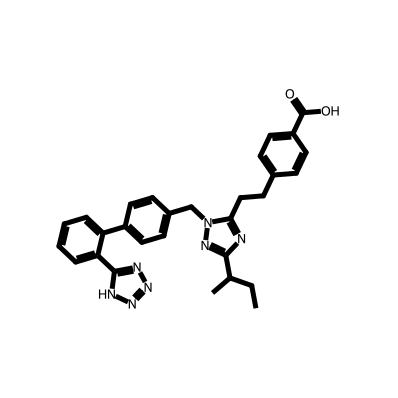 CCC(C)c1nc(CCc2ccc(C(=O)O)cc2)n(Cc2ccc(-c3ccccc3-c3nnn[nH]3)cc2)n1